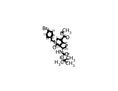 COC(=O)c1cn(Cc2ccc(Br)cc2)c(=O)c2c1SC[C@@H]2NC(=O)OC(C)(C)C